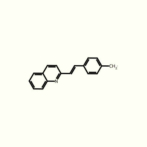 [CH2]c1ccc(/C=C/c2ccc3ccccc3n2)cc1